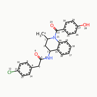 CC1CC(NC(=O)Cc2ccc(Cl)cc2)c2ccccc2N1C(=O)c1ccc(O)cc1